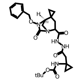 CC(C)(C)OC(=O)NC1(CC(=O)NNC(=O)C2CC3(CC3)[C@H]3CN2C(=O)N3OCc2ccccc2)CC1